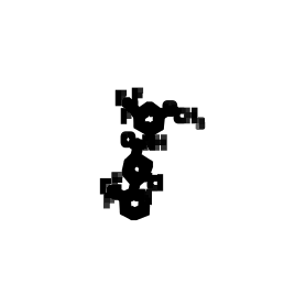 COc1cc(NC(=O)c2ccc(-c3ncccc3C(F)(F)F)c(Cl)c2)cc(C(F)(F)F)c1